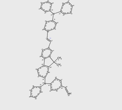 CC1(C)c2cc(/C=C/c3ccc(N(c4ccccc4)c4ccccc4)cc3)ccc2-c2ccc(N(c3ccccc3)c3ccc(C=N)cc3)cc21